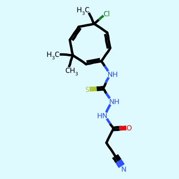 CC1(Cl)/C=C\C(NC(=S)NNC(=O)CC#N)=C/C(C)(C)/C=C\1